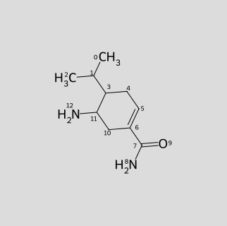 CC(C)C1CC=C(C(N)=O)CC1N